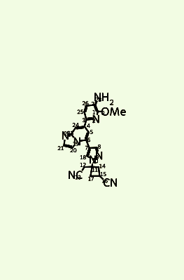 COc1nc(-c2cc(-c3cnn(C4(CC#N)CC(C#N)C4)c3)n3ccnc3c2)ccc1N